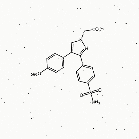 COc1ccc(-c2cn(CC(=O)O)nc2-c2ccc(S(N)(=O)=O)cc2)cc1